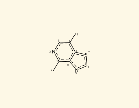 Cc1ncc(C)c2scnc12